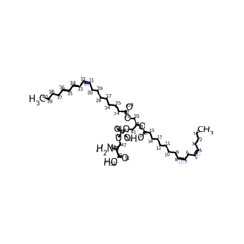 CCCC/C=C\C/C=C\CCCCCCCC(=O)O[C@H](COC(=O)CCCCCCC/C=C\CCCCCCCC)COP(=O)(O)OC[C@H](N)C(=O)O